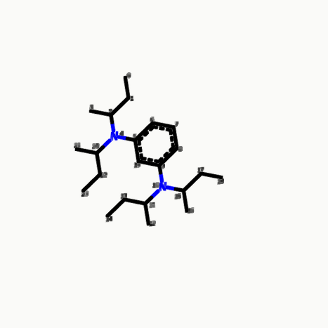 CCC(C)N(c1cccc(N(C(C)CC)C(C)CC)c1)C(C)CC